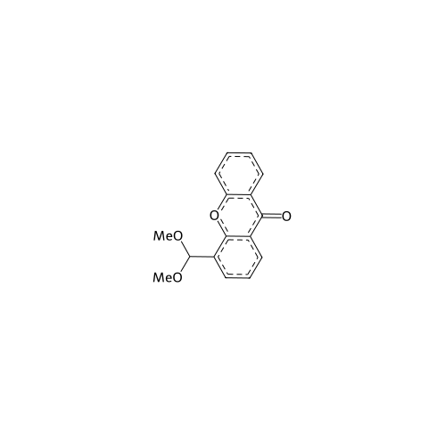 COC(OC)c1cccc2c(=O)c3ccccc3oc12